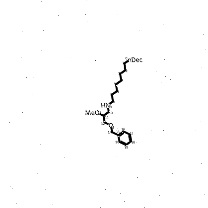 CCCCCCCCCCCCCCCCCCNCC(COCc1ccccc1)OC